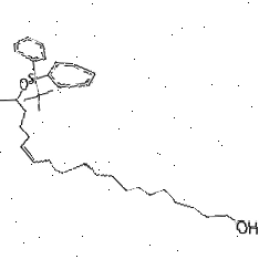 CC(CCC/C=C\CCCCCCCCCCCCCO)O[Si](c1ccccc1)(c1ccccc1)C(C)(C)C